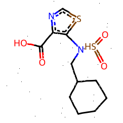 O=C(O)c1ncsc1N(CC1CCCCC1)[SH](=O)=O